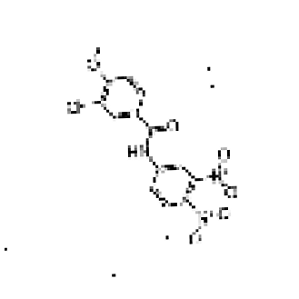 COc1ccc(C(=O)Nc2ccc([N+](=O)[O-])c([N+](=O)[O-])c2)cc1Cl